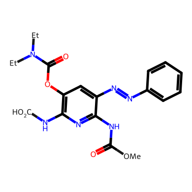 CCN(CC)C(=O)Oc1cc(/N=N/c2ccccc2)c(NC(=O)OC)nc1NC(=O)O